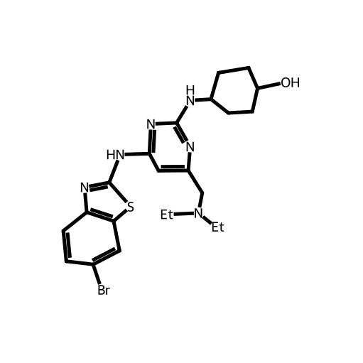 CCN(CC)Cc1cc(Nc2nc3ccc(Br)cc3s2)nc(NC2CCC(O)CC2)n1